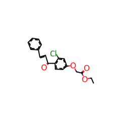 CCOC(=O)COc1ccc(C(=O)C=Cc2ccccc2)c(Cl)c1